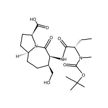 CC[C@@H](C(=O)N[C@@H]1C(=O)N2[C@@H](CC[C@@H]1CO)CC[C@H]2C(=O)O)N(C)C(=O)OC(C)(C)C